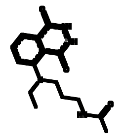 CCN(CCCNC(C)=O)c1cccc2c(=O)[nH][nH]c(=O)c12